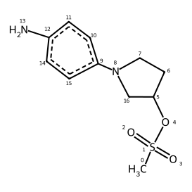 CS(=O)(=O)OC1CCN(c2ccc(N)cc2)C1